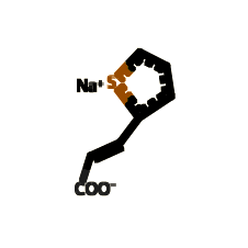 O=C([O-])C=Cc1cccs1.[Na+]